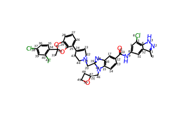 Cc1n[nH]c2c(Cl)cc(NC(=O)c3ccc4c(c3)nc(CN3CC=C(c5cccc6c5OC(C)(c5ccc(Cl)cc5F)O6)CC3)n4C[C@@H]3CCO3)cc12